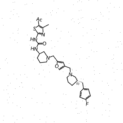 CC(=O)c1sc(NC(=O)NC2CCCN(Cc3cc(CN4CCC[C@@H](Cc5ccc(F)cc5)C4)co3)C2)nc1C